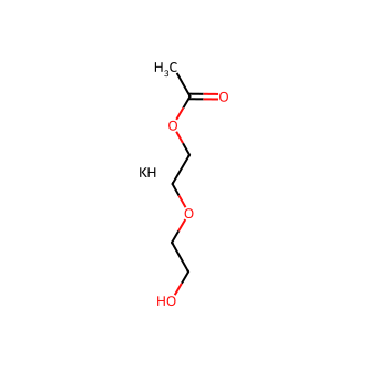 CC(=O)OCCOCCO.[KH]